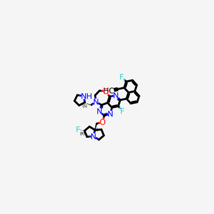 C#Cc1c(F)ccc2cccc(-c3nc4c5c(nc(OC[C@@]67CCCN6C[C@H](F)C7)nc5c3F)N(C[C@@H]3CCCN3)CCO4)c12